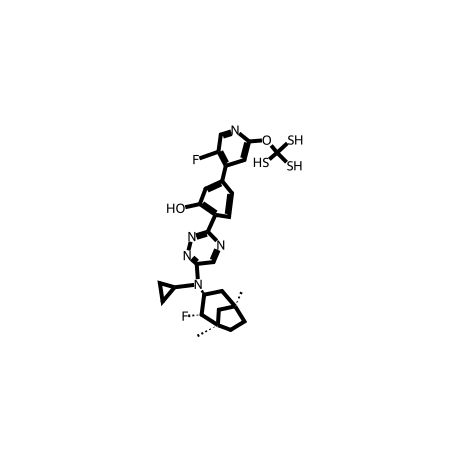 C[C@]12CC[C@](C)(C1)[C@H](F)[C@H](N(c1cnc(-c3ccc(-c4cc(OC(S)(S)S)ncc4F)cc3O)nn1)C1CC1)C2